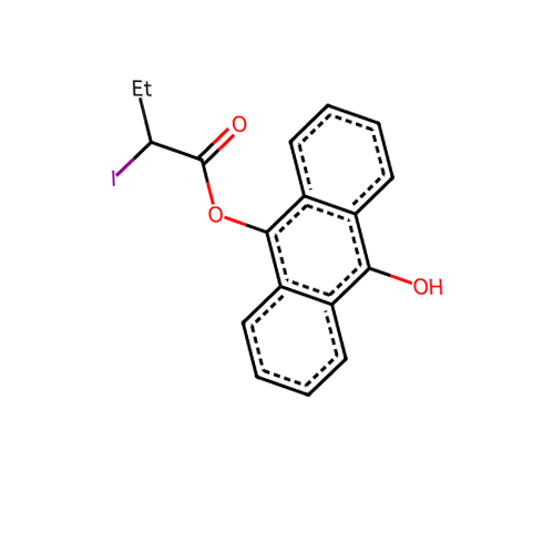 CCC(I)C(=O)Oc1c2ccccc2c(O)c2ccccc12